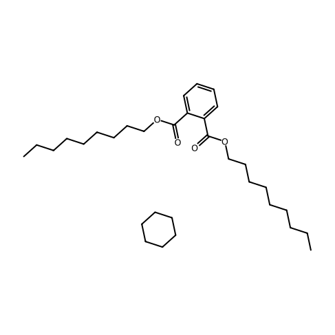 C1CCCCC1.CCCCCCCCCOC(=O)c1ccccc1C(=O)OCCCCCCCCC